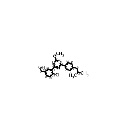 COc1nc(-c2ccc(CC(C)C)cc2)nc(-c2cc(CO)ccc2Cl)n1